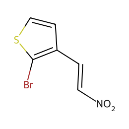 O=[N+]([O-])/C=C/c1ccsc1Br